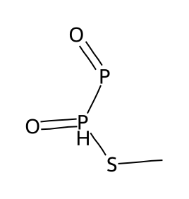 CS[PH](=O)P=O